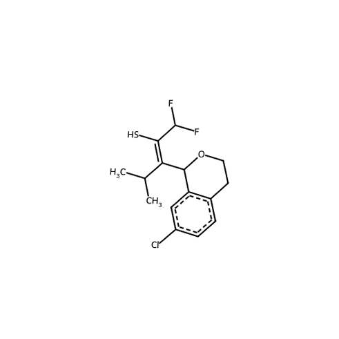 CC(C)/C(=C(\S)C(F)F)C1OCCc2ccc(Cl)cc21